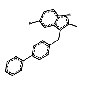 Cc1[nH]c2ccc(F)cc2c1Cc1ccc(-c2ccccc2)cc1